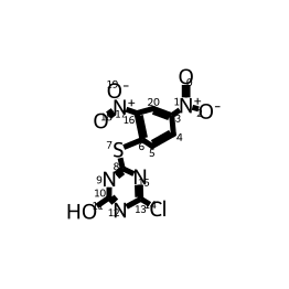 O=[N+]([O-])c1ccc(Sc2nc(O)nc(Cl)n2)c([N+](=O)[O-])c1